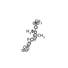 Cc1nc(-c2cc(F)c(N3CCN(C(=O)OC(C)(C)C)CC3)cc2F)cc2c1cc(-c1ccc(S(C)(=O)=O)cc1)n2C